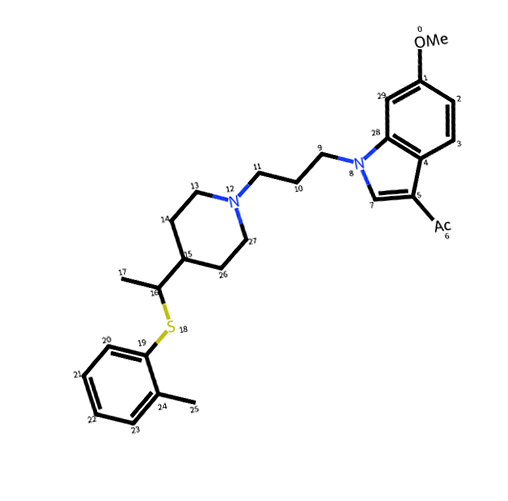 COc1ccc2c(C(C)=O)cn(CCCN3CCC(C(C)Sc4ccccc4C)CC3)c2c1